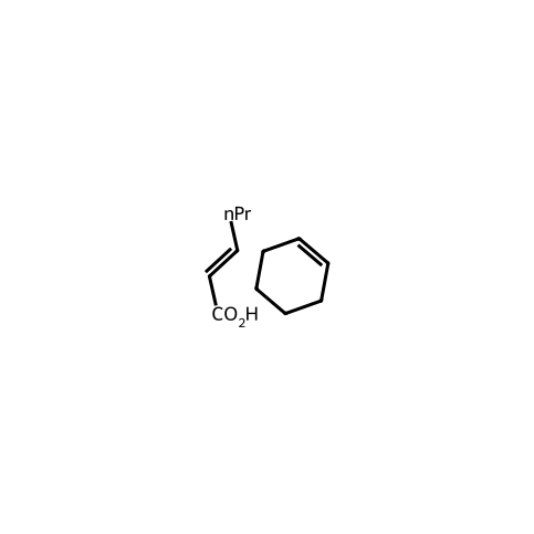 C1=CCCCC1.CCCC=CC(=O)O